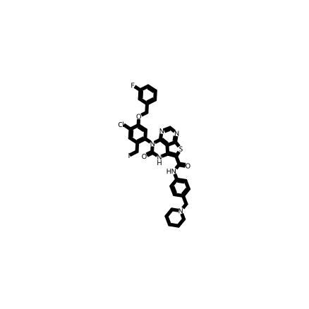 O=C(Nc1ccc(CN2CCCCC2)cc1)c1sc2ncnc3c2c1NC(=O)N3c1cc(OCc2cccc(F)c2)c(Cl)cc1CI